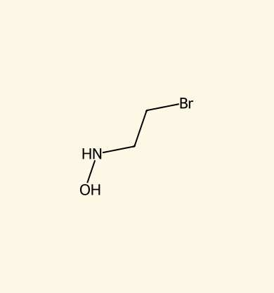 ONCCBr